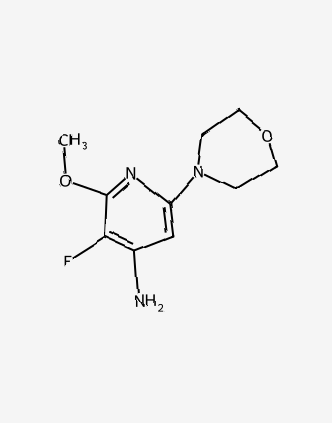 COc1nc(N2CCOCC2)cc(N)c1F